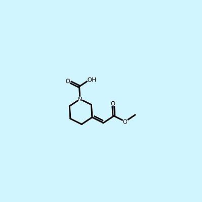 COC(=O)/C=C1/CCCN(C(=O)O)C1